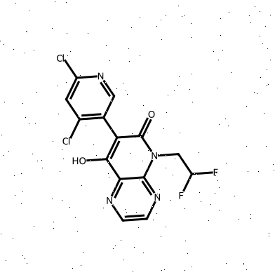 O=c1c(-c2cnc(Cl)cc2Cl)c(O)c2nccnc2n1CC(F)F